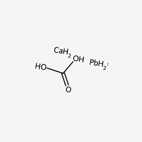 O=C(O)O.[CaH2].[PbH2]